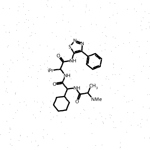 CNC(C)C(=O)NC(C(=O)NC(C(=O)Nc1snnc1-c1ccccc1)C(C)C)C1CCCCC1